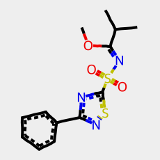 COC(=NS(=O)(=O)c1nc(-c2ccccc2)ns1)C(C)C